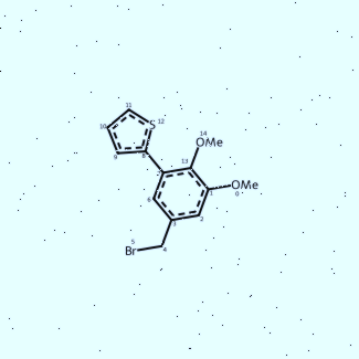 COc1cc(CBr)cc(-c2cccs2)c1OC